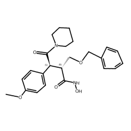 COc1ccc([C@@H](C(=O)N2CCCCC2)[C@H](COCc2ccccc2)C(=O)NO)cc1